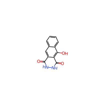 O=c1[nH][nH]c(=O)c2c(O)c3ccccc3cc12